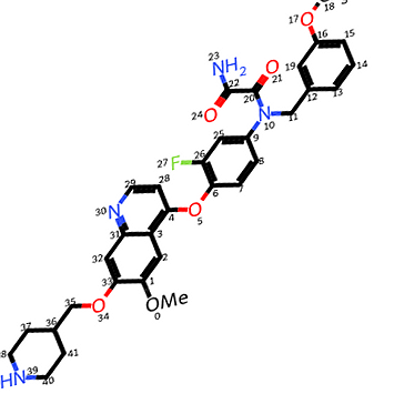 COc1cc2c(Oc3ccc(N(Cc4cccc(OC(F)(F)F)c4)C(=O)C(N)=O)cc3F)ccnc2cc1OCC1CCNCC1